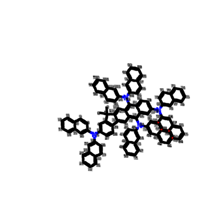 CC1(C)c2cc(N(c3ccc4ccccc4c3)c3ccc4ccccc4c3)ccc2-c2cc3c(N(c4ccc5ccccc5c4)c4ccc5ccccc5c4)c4cc(N(c5ccc6ccccc6c5)c5ccc6ccccc6c5)ccc4c(N(c4ccc5ccccc5c4)c4ccc5ccccc5c4)c3cc21